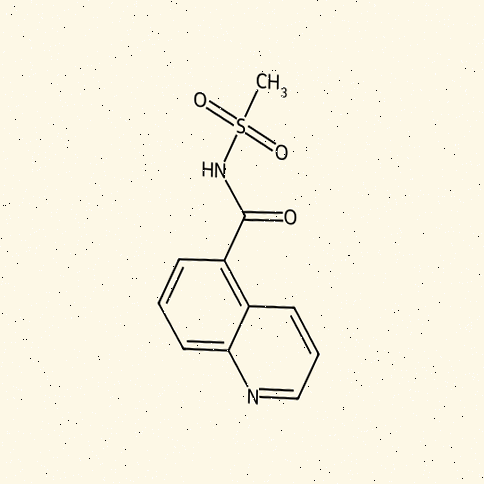 CS(=O)(=O)NC(=O)c1cccc2ncccc12